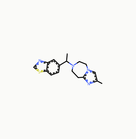 Cc1cn2c(n1)CCN(C(C)c1ccc3scnc3c1)CC2